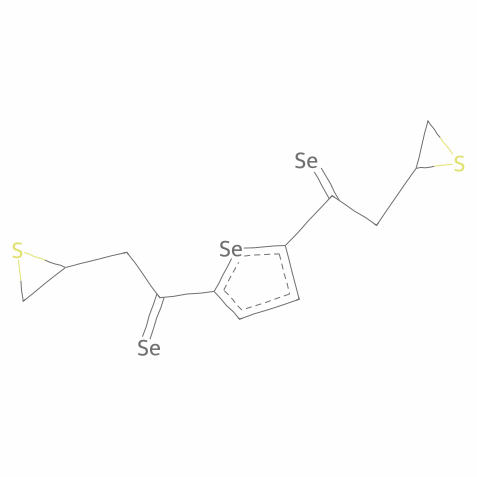 [Se]=C(CC1CS1)c1ccc(C(=[Se])CC2CS2)[se]1